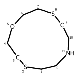 C1CSCCOCCSCCN1